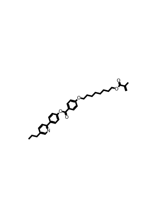 C=C(C)C(=O)OCCCCCCCCOc1ccc(C(=O)Oc2ccc(-c3ccc(CCC)cn3)cc2)cc1